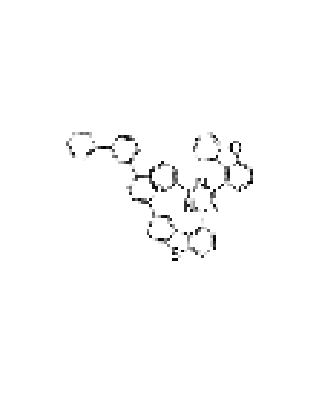 c1ccc(-c2cccc(-c3ccc(-c4ccc5sc6cccc(-c7nc(-c8ccccc8)nc(-c8cccc9oc%10ccccc%10c89)n7)c6c5c4)cc3)c2)cc1